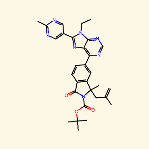 C=C(C)CC1(C)c2cc(-c3ncnc4c3nc(-c3cnc(C)nc3)n4CC)ccc2C(=O)N1C(=O)OC(C)(C)C